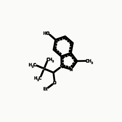 CCOC(n1nc(C)c2ccc(O)cc21)[Si](C)(C)C